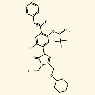 CCn1c(COC2CCCCO2)nn(-c2cc(O[C@@H](C)C(F)(F)F)c(/C(F)=C/c3cccnc3)cc2F)c1=O